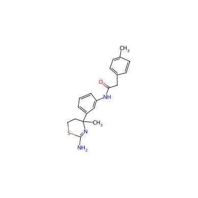 Cc1ccc(CC(=O)Nc2cccc(C3(C)CCSC(N)=N3)c2)cc1